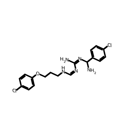 NC(/N=C\NCCCOc1ccc(Cl)cc1)=N/C(N)c1ccc(Cl)cc1